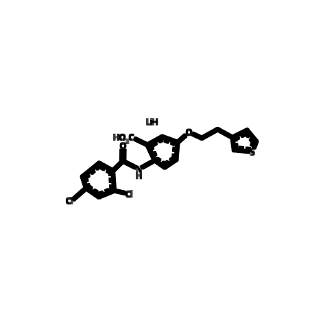 O=C(Nc1ccc(OCCc2ccsc2)cc1C(=O)O)c1ccc(Cl)cc1Cl.[LiH]